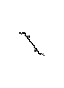 C=CCNCCCCCCCCNCC=C